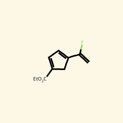 C=C(F)C1=CC=C(C(=O)OCC)C1